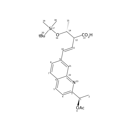 CC(=O)O[C@H](C)c1ccc2ccc(C=CC(C(=O)O)[C@@H](C)O[Si](C)(C)C(C)(C)C)cc2n1